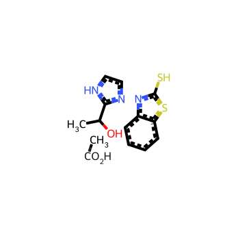 CC(=O)O.CC(O)c1ncc[nH]1.Sc1nc2ccccc2s1